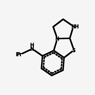 CC(C)Nc1cccc2c1N1CCNC1S2